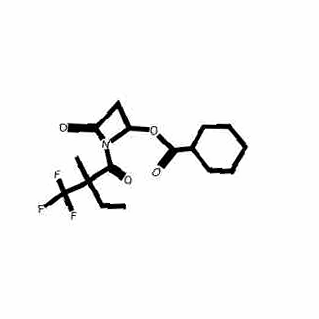 CCC(C)(C(=O)N1C(=O)CC1OC(=O)C1CCCCC1)C(F)(F)F